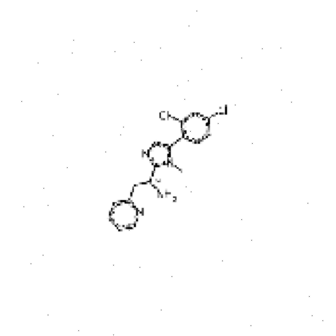 Cn1c(-c2ccc(Cl)cc2Cl)cnc1[C@@H](N)Cc1ccccn1